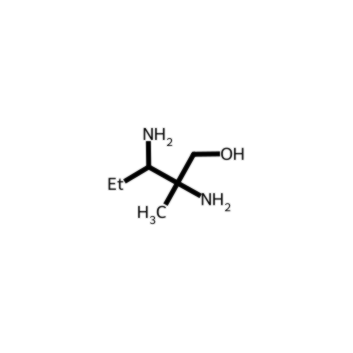 CCC(N)C(C)(N)CO